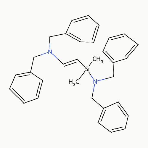 C[Si](C)(C=CN(Cc1ccccc1)Cc1ccccc1)N(Cc1ccccc1)Cc1ccccc1